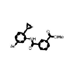 COC(=O)c1cccc(C(=O)Nc2cc(C(C)=O)ccc2C2CC2)c1